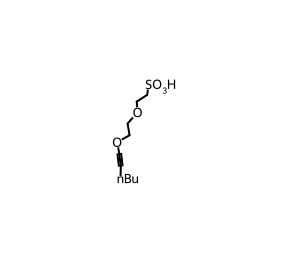 CCCCC#COCCOCCS(=O)(=O)O